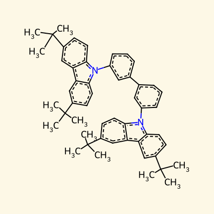 CC(C)(C)c1ccc2c(c1)c1cc(C(C)(C)C)ccc1n2-c1cccc(-c2cccc(-n3c4ccc(C(C)(C)C)cc4c4cc(C(C)(C)C)ccc43)c2)c1